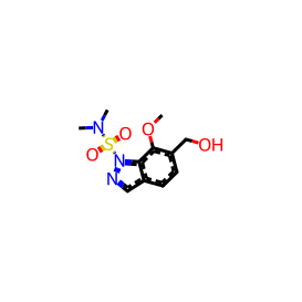 COc1c(CO)ccc2cnn(S(=O)(=O)N(C)C)c12